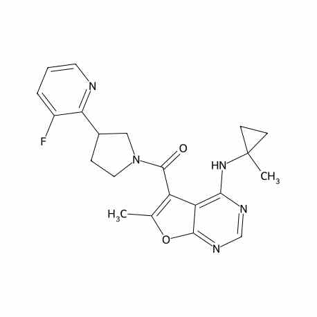 Cc1oc2ncnc(NC3(C)CC3)c2c1C(=O)N1CCC(c2ncccc2F)C1